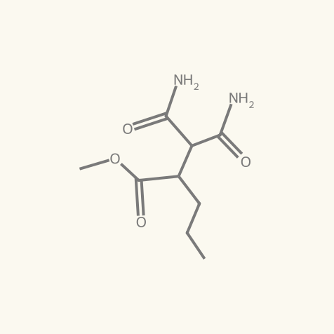 CCCC(C(=O)OC)C(C(N)=O)C(N)=O